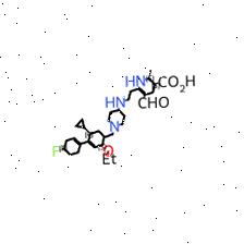 CCO[C@H]1C=C(C2=CC[C@H](F)CC2)[C@@H](C2CC2)CC1CN1CCC(NCCC2=C(C=O)C[C@H](C(=O)O)[C@H](C)N2)CC1